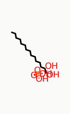 CCCCCCCCCCCCC(OP(=O)(O)O)C(O)CO